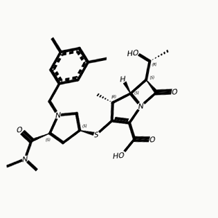 Cc1cc(C)cc(CN2C[C@@H](SC3=C(C(=O)O)N4C(=O)[C@H]([C@@H](C)O)[C@H]4[C@H]3C)C[C@H]2C(=O)N(C)C)c1